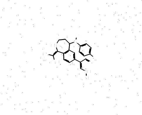 CN/C=C(\C=N)c1ccc2c(c1)C(N(C)c1ccc(C)cc1)CCN/C2=C(/C)N